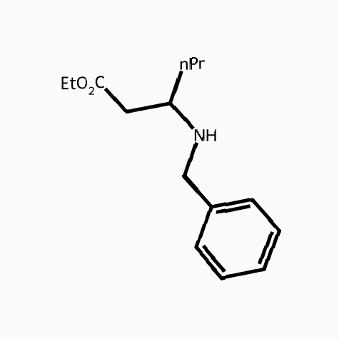 CCCC(CC(=O)OCC)NCc1ccccc1